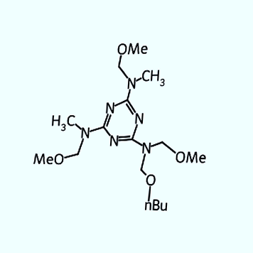 CCCCOCN(COC)c1nc(N(C)COC)nc(N(C)COC)n1